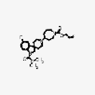 CN(C)C(=O)N1CC2(CCN(C3CCCN(C(=O)OCCF)CC3)CC2)c2cc(F)ccc21